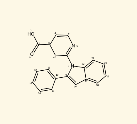 O=C(O)C1C=CN=C(n2c(-c3ccccc3)cc3ccccc32)C1